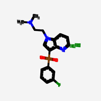 CN(C)CCn1cc(S(=O)(=O)c2cccc(F)c2)c2ncccc21.Cl.Cl